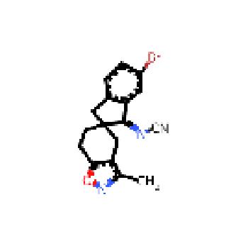 Cc1noc2c1CC1(CC2)Cc2ccc(Br)cc2C1=NC#N